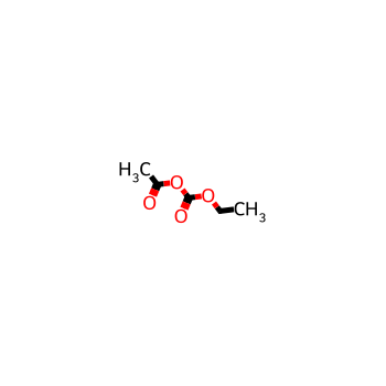 CCOC(=O)OC(C)=O